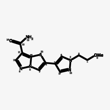 COCCn1cc(-c2cn3ncc(C(N)=O)c3s2)cn1